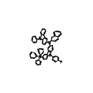 Fc1ccc(-n2c3ccc(N(c4ccc5ccccc5c4)c4ccc5c(c4)c4ccccc4n5-c4ccccc4)cc3c3cc([Si](c4ccccc4)(c4ccccc4)c4ccccc4)ccc32)cc1